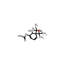 CC(C)(C)C1(C(C)(C)C)C=CC=C(OC(=O)O)C1O